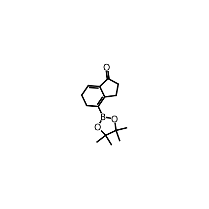 CC1(C)OB(C2=C3CCC(=O)C3=CCC2)OC1(C)C